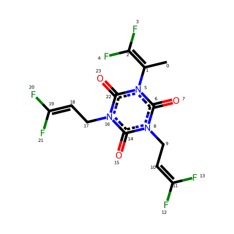 CC(=C(F)F)n1c(=O)n(CC=C(F)F)c(=O)n(CC=C(F)F)c1=O